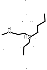 CCCC[SiH](CCC)CCNC